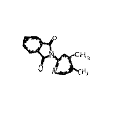 Cc1cnc(N2C(=O)c3ccccc3C2=O)cc1C